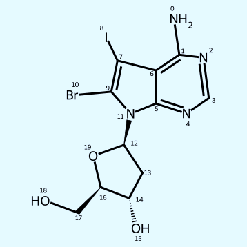 Nc1ncnc2c1c(I)c(Br)n2[C@H]1C[C@H](O)[C@@H](CO)O1